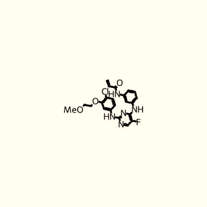 C=CC(=O)Nc1cccc(Nc2nc(Nc3ccc(Cl)c(OCCOC)c3)ncc2F)c1